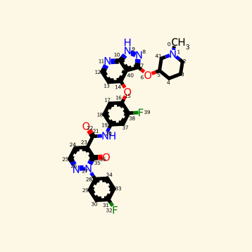 CN1CCCC(Oc2n[nH]c3nccc(Oc4ccc(NC(=O)c5ccnn(-c6ccc(F)cc6)c5=O)cc4F)c23)C1